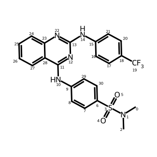 CN(C)S(=O)(=O)c1ccc(Nc2nc(Nc3ccc(C(F)(F)F)cc3)nc3ccccc23)cc1